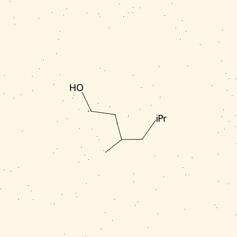 CC(C)CC(C)C[CH]O